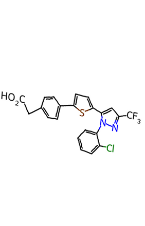 O=C(O)Cc1ccc(-c2ccc(-c3cc(C(F)(F)F)nn3-c3ccccc3Cl)s2)cc1